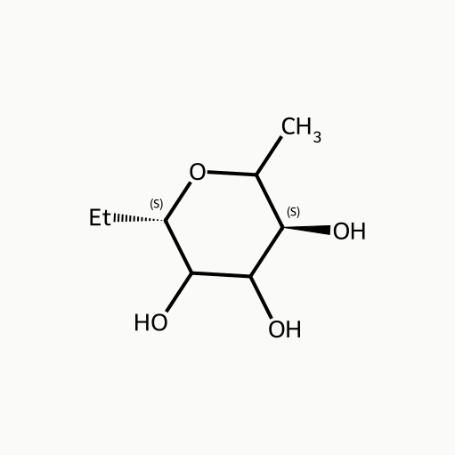 CC[C@@H]1OC(C)[C@@H](O)C(O)C1O